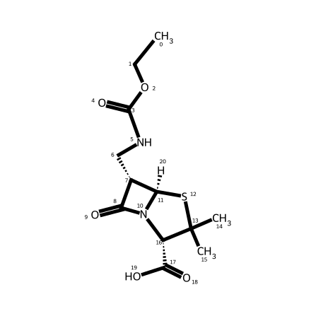 CCOC(=O)NC[C@H]1C(=O)N2[C@@H]1SC(C)(C)[C@@H]2C(=O)O